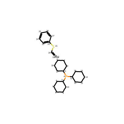 C1CCC(P(C2CCCCC2)C2CCCCC2)CC1.[Ru]=[CH]Sc1ccccc1